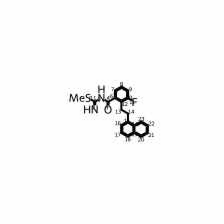 CSC(=N)NC(=O)c1cccc(F)c1CCc1cccc2ccccc12